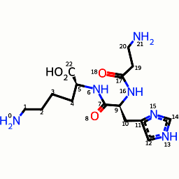 NCCCC[C@H](NC(=O)[C@H](Cc1c[nH]cn1)NC(=O)CCN)C(=O)O